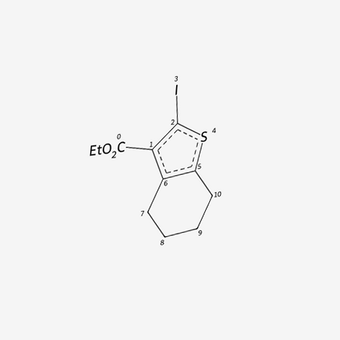 CCOC(=O)c1c(I)sc2c1CCCC2